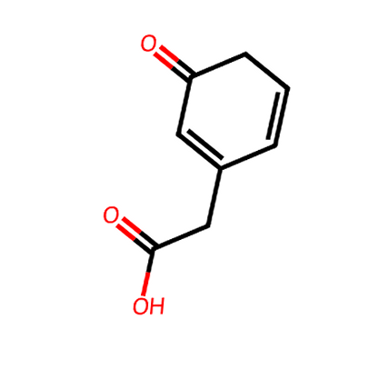 O=C(O)CC1=CC(=O)CC=C1